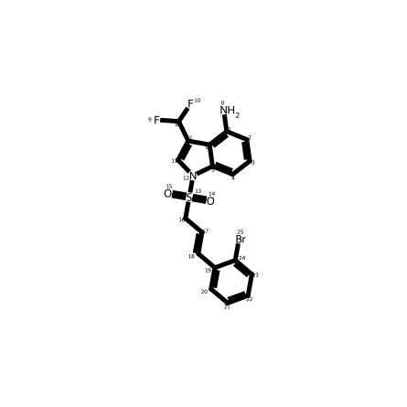 Nc1cccc2c1c(C(F)F)cn2S(=O)(=O)CC=Cc1ccccc1Br